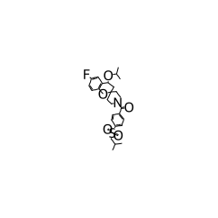 CC(C)CS(=O)(=O)c1ccc(C(=O)N2CCC3(CC2)C[C@@H](OC(C)C)c2cc(F)ccc2O3)cc1